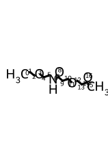 CCCOCCNC(=O)CCOCCC(C)=O